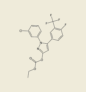 CCOC(=O)Oc1cc(-c2ccc(F)c(C(F)(F)F)c2)n(-c2cccc(Cl)c2)n1